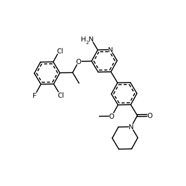 COc1cc(-c2cnc(N)c(OC(C)c3c(Cl)ccc(F)c3Cl)c2)ccc1C(=O)N1CCCCC1